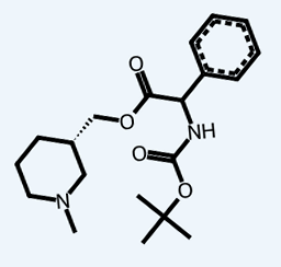 CN1CCC[C@H](COC(=O)C(NC(=O)OC(C)(C)C)c2ccccc2)C1